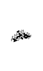 Cc1nc(CC(=O)NC2(C(F)F)CC2)c(C2OCCO2)c(N[C@H](C)c2cccc(C(F)(F)F)c2F)n1